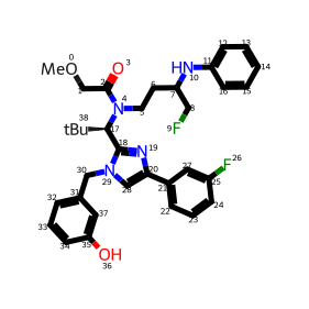 COCC(=O)N(CCC(CF)Nc1ccccc1)[C@@H](c1nc(-c2cccc(F)c2)cn1Cc1cccc(O)c1)C(C)(C)C